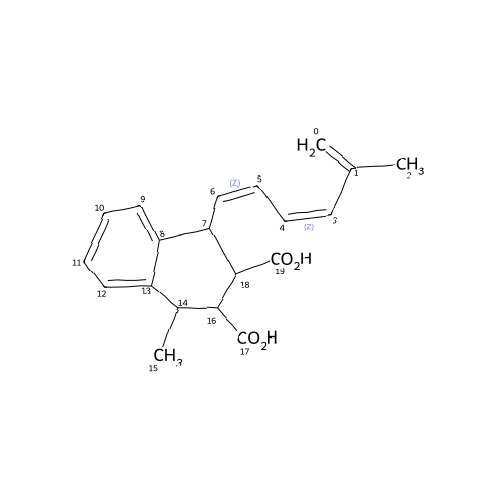 C=C(C)/C=C\C=C/C1c2ccccc2C(C)C(C(=O)O)C1C(=O)O